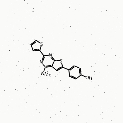 CNc1nc(-c2cccs2)nc2sc(-c3ccc(O)cc3)cc12